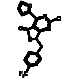 O=C1OC(Cc2ccc(C(F)(F)F)cc2)c2nc(Cl)nc(-c3ccco3)c21